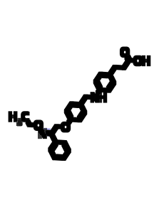 CCO/N=C(\COc1ccc(CNc2ccc(CCC(=O)O)cc2)cc1)c1ccccc1